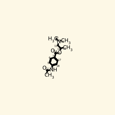 CC(=O)Nc1ccc(C(=O)OC(C)CN(C)C)cc1